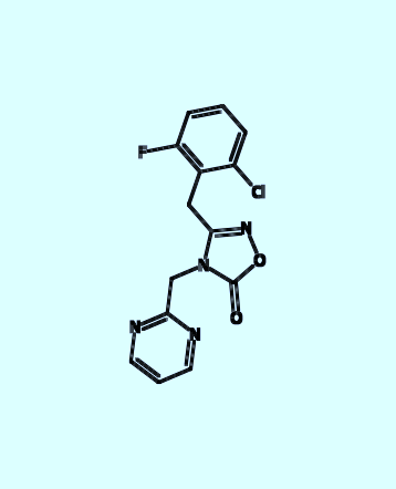 O=c1onc(Cc2c(F)cccc2Cl)n1Cc1ncccn1